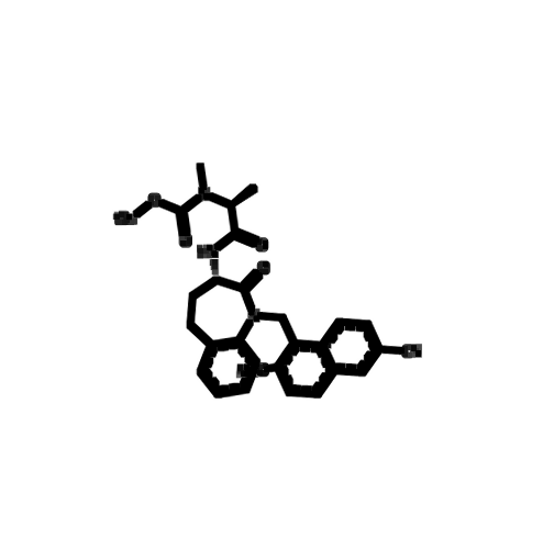 COc1ccc2cc(C#N)ccc2c1CN1C(=O)[C@@H](NC(=O)[C@H](C)N(C)C(=O)OC(C)(C)C)CCc2ccccc21